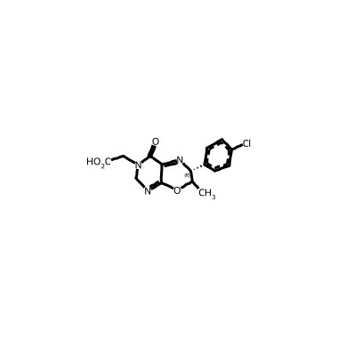 CC1OC2=NCN(CC(=O)O)C(=O)C2=N[C@@H]1c1ccc(Cl)cc1